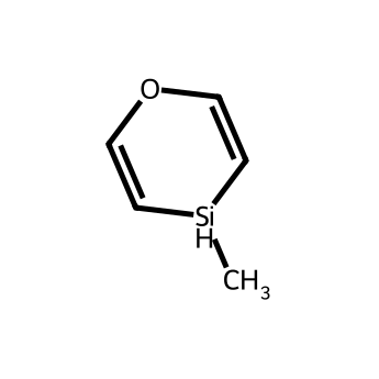 C[SiH]1C=COC=C1